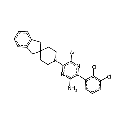 CC(=O)c1nc(-c2cccc(Cl)c2Cl)c(N)nc1N1CCC2(CC1)Cc1ccccc1C2